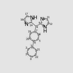 [c]1ccc(-c2ccc(C(c3ncc[nH]3)c3ncc[nH]3)cc2)cc1